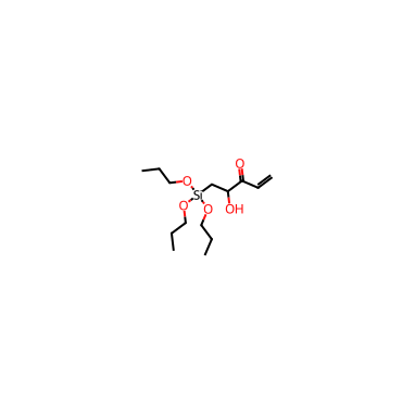 C=CC(=O)C(O)C[Si](OCCC)(OCCC)OCCC